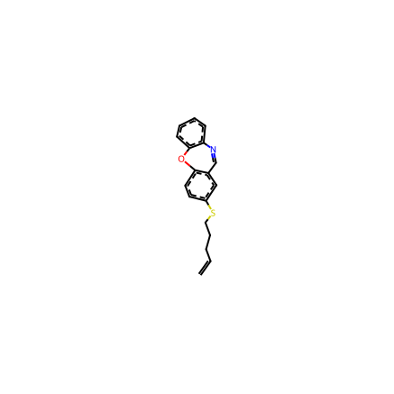 C=CCCCSc1ccc2c(c1)C=Nc1ccccc1O2